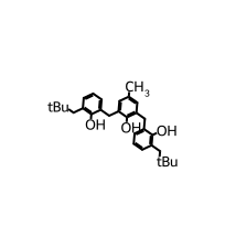 Cc1cc(Cc2cccc(CC(C)(C)C)c2O)c(O)c(Cc2cccc(CC(C)(C)C)c2O)c1